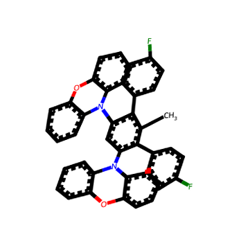 Cc1c(-c2ccc(F)cc2)c(N2c3ccccc3Oc3ccccc32)cc(N2c3ccccc3Oc3ccccc32)c1-c1ccc(F)cc1